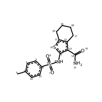 Cc1ccc(S(=O)(=O)Nc2sc3c(c2C(N)=O)CCCC3)cc1